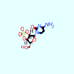 Nc1ccn([C@@H]2O[C@H](CO)[C@H]3OS(=O)(=O)O[C@H]32)c(=O)n1